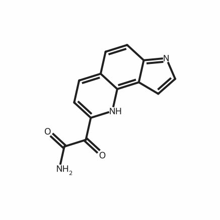 NC(=O)C(=O)c1ccc2ccc3nccc3c2[nH]1